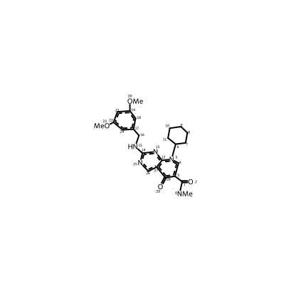 CNC(=O)c1cn(C2CCCCC2)c2nc(NCc3cc(OC)cc(OC)c3)ncc2c1=O